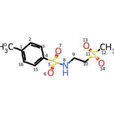 Cc1ccc(S(=O)(=O)NCCS(C)(=O)=O)cc1